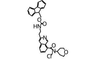 O=C(NCCc1cc2cccc(C(=O)N(Cl)C3CCOCC3)c2cn1)OCC1c2ccccc2-c2ccccc21